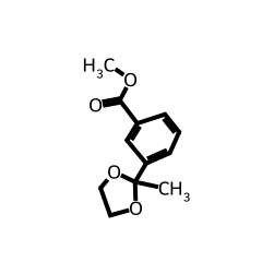 COC(=O)c1cccc(C2(C)OCCO2)c1